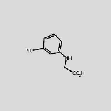 N#Cc1cccc(NCC(=O)O)c1